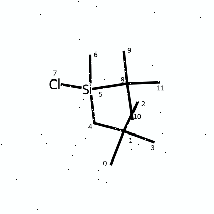 CC(C)(C)C[Si](C)(Cl)C(C)(C)C